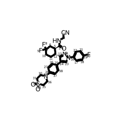 N#CCNC(=O)[C@@H]1CC(F)(F)CC[C@H]1c1nn(-c2ccc(F)cc2)cc1-c1ccc(N2CCS(=O)(=O)CC2)cc1